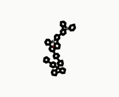 c1ccc(-c2ccc(C3(c4cccc(-c5ccc(-c6ccc(-c7ccccc7-n7c8ccccc8c8cc(-c9ccc%10c(c9)c9ccccc9n%10-c9ccccc9)ccc87)cc6)cc5)c4)c4ccccc4-c4ccccc43)cc2)cc1